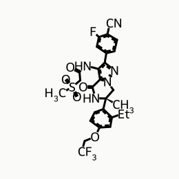 CCc1cc(OCC(F)(F)F)ccc1[C@@]1(C)Cn2nc(-c3ccc(C#N)c(F)c3)c(NC(=O)CS(C)(=O)=O)c2C(=O)N1